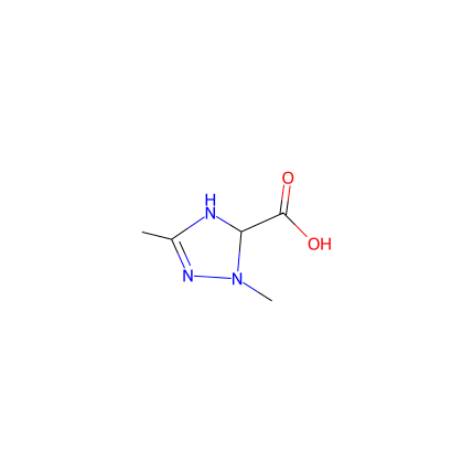 CC1=NN(C)C(C(=O)O)N1